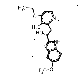 Cc1c(OCC(F)(F)F)ccnc1CC(O)c1nc2cc(OC(F)(F)F)ccc2[nH]1